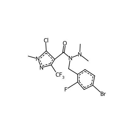 CN(C)N(Cc1ccc(Br)cc1F)C(=O)c1c(C(F)(F)F)nn(C)c1Cl